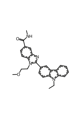 CCn1c2ccccc2c2cc(-c3nc4cc(C(=O)NC)ccc4n3CCOC)ccc21